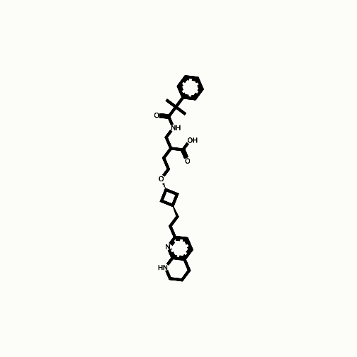 CC(C)(C(=O)NCC(CCO[C@H]1C[C@H](CCc2ccc3c(n2)NCCC3)C1)C(=O)O)c1ccccc1